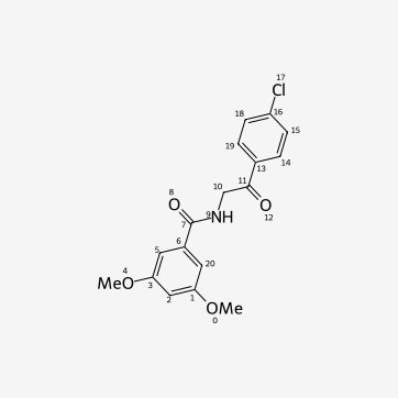 COc1cc(OC)cc(C(=O)NCC(=O)c2ccc(Cl)cc2)c1